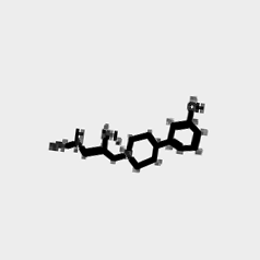 CCCN/C=C(\N)CN1CCC(c2cccc(O)c2)CC1